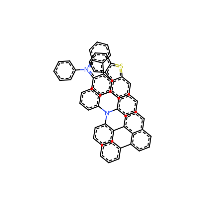 c1ccc(-c2cccc3cccc(-c4ccccc4N(c4ccccc4-c4ccc5c(c4)c4ccccc4n5-c4ccccc4)c4ccccc4-c4cccc5sc6ccccc6c45)c23)cc1